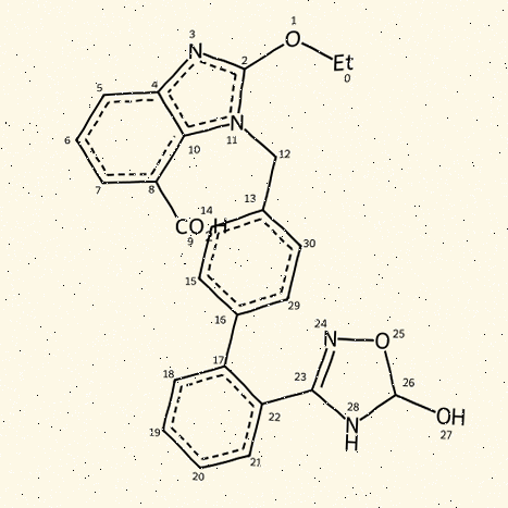 CCOc1nc2cccc(C(=O)O)c2n1Cc1ccc(-c2ccccc2C2=NOC(O)N2)cc1